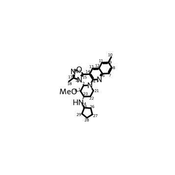 CO[C@@H]1CN(c2nc3ccc(C)cc3cc2-c2nc(C)no2)CC[C@@H]1NC1CCCC1